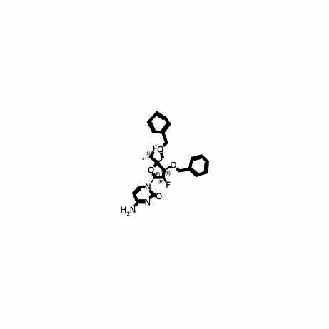 C[C@H](F)[C@]1(COCc2ccccc2)O[C@@H](n2ccc(N)nc2=O)[C@H](F)[C@@H]1OCc1ccccc1